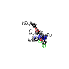 CCCCn1cc(-c2ccc(Cl)cc2Cl)nc1[C@H](Cc1ccc(OCc2ccc(C(=O)O)cc2)c([N+](=O)[O-])c1)NC(=O)[C@H]1CC[C@H](CC)CC1